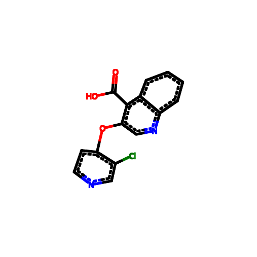 O=C(O)c1c(Oc2ccncc2Cl)cnc2ccccc12